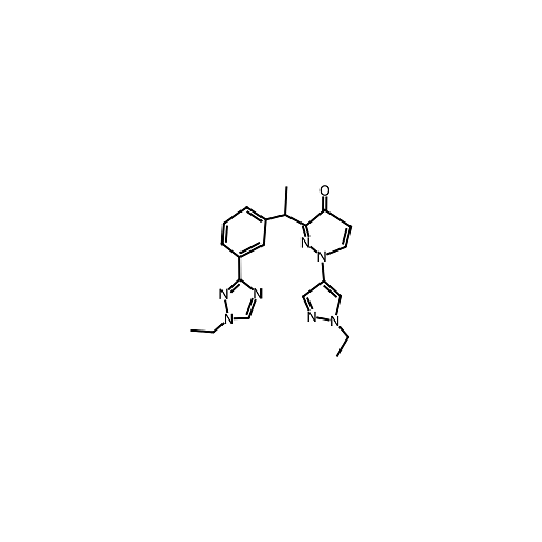 CCn1cc(-n2ccc(=O)c(C(C)c3cccc(-c4ncn(CC)n4)c3)n2)cn1